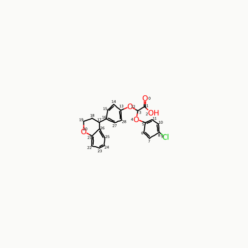 O=C(O)C(Oc1ccc(Cl)cc1)Oc1ccc(C2CCOc3ccccc32)cc1